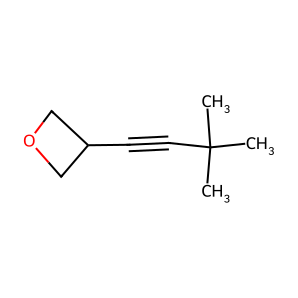 CC(C)(C)C#CC1COC1